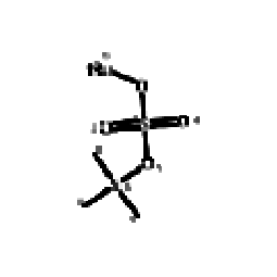 CC(C)(C)OS(=O)(=O)O[Si](C)(C)C